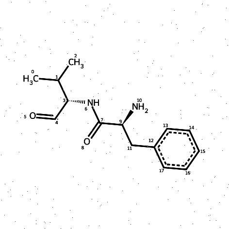 CC(C)[C@@H]([C]=O)NC(=O)[C@@H](N)Cc1ccccc1